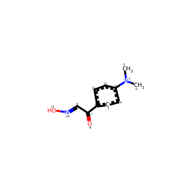 CN(C)c1ccc(C(=O)C=NO)cc1